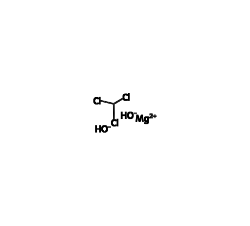 ClC(Cl)Cl.[Mg+2].[OH-].[OH-]